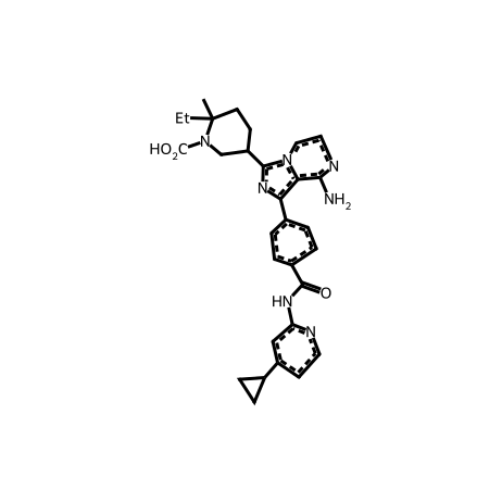 CCC1(C)CCC(c2nc(-c3ccc(C(=O)Nc4cc(C5CC5)ccn4)cc3)c3c(N)nccn23)CN1C(=O)O